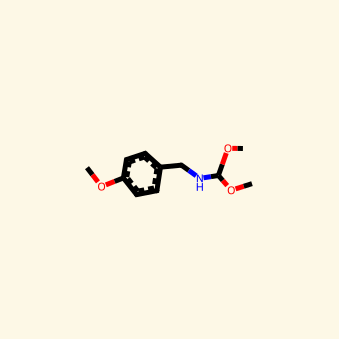 COc1ccc(CNC(OC)OC)cc1